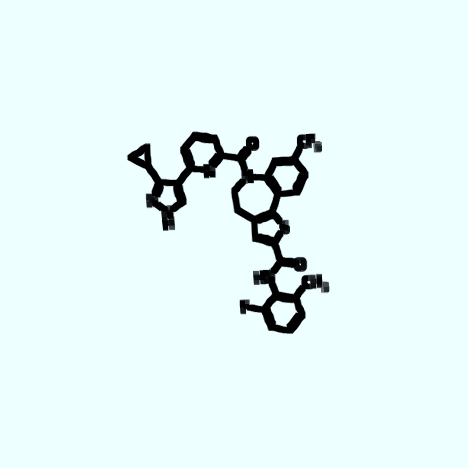 Cc1cccc(F)c1NC(=O)c1cc2c(s1)-c1ccc(C(F)(F)F)cc1N(C(=O)c1cccc(-c3c[nH]nc3C3CC3)n1)CC2